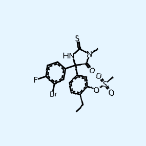 CCc1ccc(C2(c3ccc(F)c(Br)c3)NC(=S)N(C)C2=O)cc1OS(C)(=O)=O